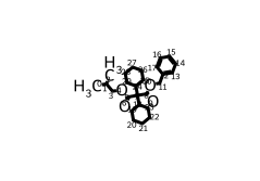 CC(C)COC(=O)C(C(=O)OCc1ccccc1)(C1CCCCC1)C1CCCCC1